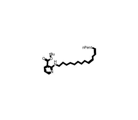 CCCCC/C=C\C/C=C\CCCCCCCCNc1ncccc1C(=O)OC(C)(C)C